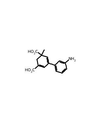 CC1(C(=O)O)C=C(c2cccc(N)c2)C=C(C(=O)O)C1